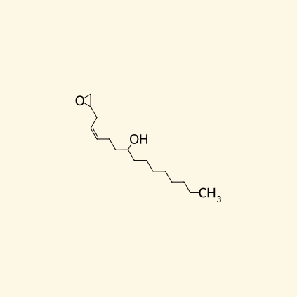 CCCCCCCCC(O)CC/C=C\CC1CO1